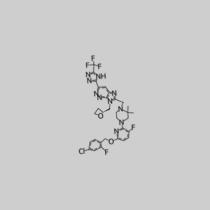 CC1(C)CN(c2nc(OCc3ccc(Cl)cc3F)ccc2F)CCN1Cc1nc2cc(-c3nnc(C(F)(F)F)[nH]3)nnc2n1C[C@@H]1CCO1